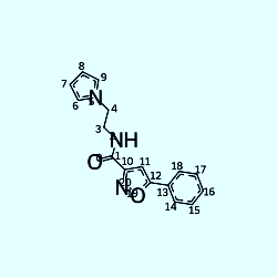 O=C(NCCn1cccc1)c1cc(-c2ccccc2)on1